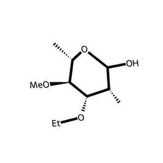 CCO[C@@H]1[C@@H](OC)[C@H](C)OC(O)[C@@H]1C